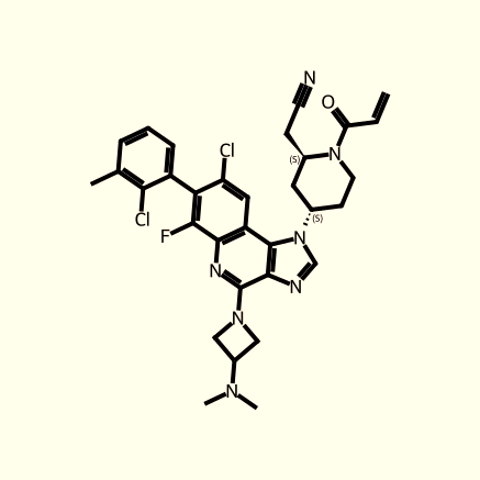 C=CC(=O)N1CC[C@H](n2cnc3c(N4CC(N(C)C)C4)nc4c(F)c(-c5cccc(C)c5Cl)c(Cl)cc4c32)C[C@H]1CC#N